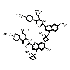 CCOC(=O)N1CCN(C(=O)C(CCC(=O)O)NC(=O)c2cc(OC3(C(=O)O)CCC3)c3cc(C(C)=O)ccc3n2)CC1.CCOC(=O)N1CCN(C(=O)C(CCC(=O)O)NC(=O)c2cc(OC3(C(=O)O)CCC3)c3ccc(C(=O)O)cc3n2)CC1